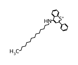 CCCCCCCCCCCCCCNc1cc(-c2ccccc2)[s+]c2ccccc12